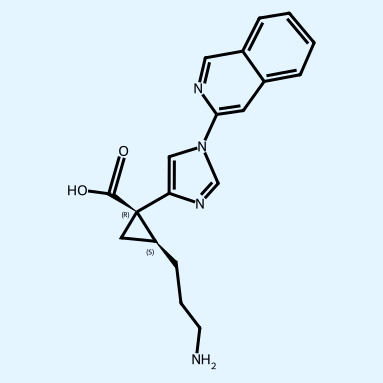 NCCC[C@H]1C[C@]1(C(=O)O)c1cn(-c2cc3ccccc3cn2)cn1